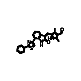 Cc1[nH]c(/C=C2\C(=O)Nc3c2cccc3-c2csc(-c3ccccc3)n2)c(C)c1C=O